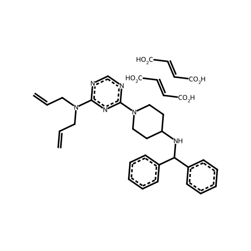 C=CCN(CC=C)c1ncnc(N2CCC(NC(c3ccccc3)c3ccccc3)CC2)n1.O=C(O)C=CC(=O)O.O=C(O)C=CC(=O)O